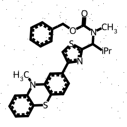 CC(C)C(c1nc(-c2ccc3c(c2)N(C)c2ccccc2S3)cs1)N(C)C(=O)OCc1ccccc1